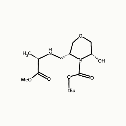 COC(=O)[C@H](C)NC[C@@H]1COC[C@H](O)N1C(=O)OC(C)(C)C